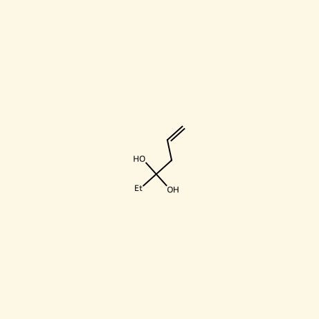 C=CCC(O)(O)CC